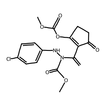 C=C(C1=C(OC(=O)OC)CCC1=O)N(Nc1ccc(Cl)cc1)C(=O)OC